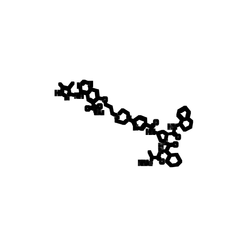 CNC(C)C(=O)NC(C(=O)N1C[C@@H](NC(=O)c2ccc(N3CCN(CCCOc4cc5ncnc(Nc6n[nH]c(C)c6C)c5cc4S(=O)(=O)C(C)(C)C)CC3)nc2)C[C@H]1C(=O)N[C@@H]1CCCc2ccccc21)C1CCCCC1